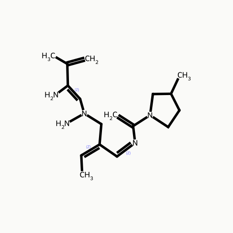 C=C(C)/C(N)=C/N(N)CC(/C=N\C(=C)N1CCC(C)C1)=C/C